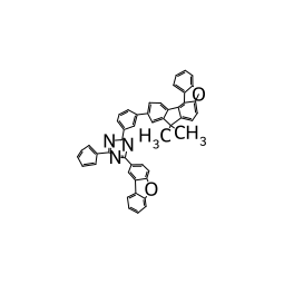 CC1(C)c2cc(-c3cccc(-c4nc(-c5ccccc5)nc(-c5ccc6oc7ccccc7c6c5)n4)c3)ccc2-c2c1ccc1oc3ccccc3c21